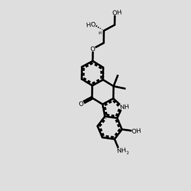 CC1(C)c2cc(OC[C@H](O)CO)ccc2C(=O)c2c1[nH]c1c(O)c(N)ccc21